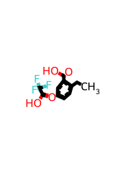 CCc1ccccc1C(=O)O.O=C(O)C(F)(F)F